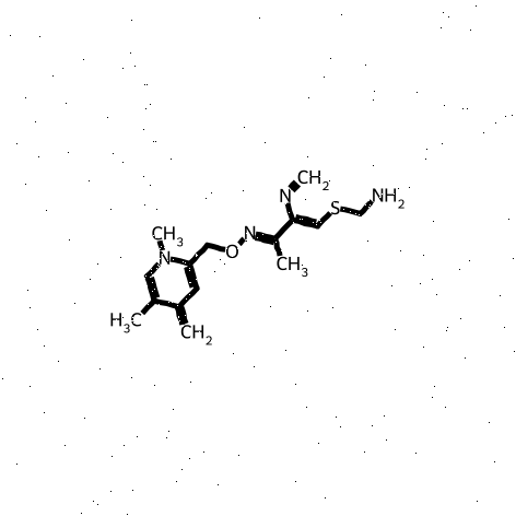 C=NC(=C\SCN)/C(C)=N/OCC1=CC(=C)C(C)=CN1C